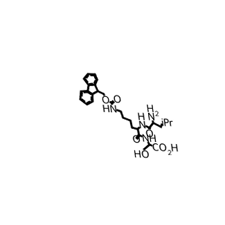 CC(C)CC(N)C(=O)NC(CCCCNC(=O)OCC1c2ccccc2-c2ccccc21)C(=O)NC(CO)C(=O)O